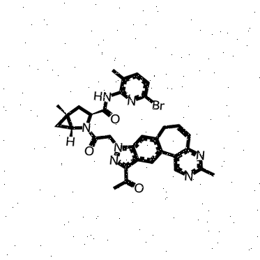 CC(=O)c1nn(CC(=O)N2[C@H](C(=O)Nc3nc(Br)ccc3C)C[C@@]3(C)C[C@@H]23)c2cc3c(cc12)-c1cnc(C)nc1C=CC3